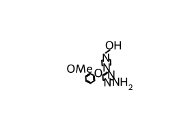 COc1ccccc1Oc1cnc(N)nc1N1CCN(CCO)CC1